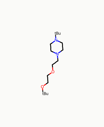 CC(C)(C)OCCOCCN1CCN(C(C)(C)C)CC1